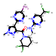 C[C@@H]1CC(F)(F)CN(C(=O)c2nn(C)cc2-c2ncc(P)cn2)[C@@H]1CNc1ncc(C(F)F)cn1